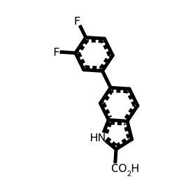 O=C(O)c1cc2ccc(-c3ccc(F)c(F)c3)cc2[nH]1